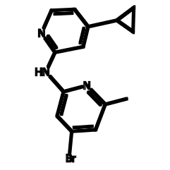 Cc1cc(Br)cc(Nc2cc(C3CC3)ccn2)n1